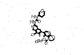 Cc1c(-c2cc3cc(NC(=O)NC4CCCOC4)ncc3c(Cl)c2F)cnc2c1N(C(=O)OC(C)(C)C)CCO2